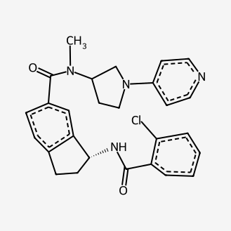 CN(C(=O)c1ccc2c(c1)[C@H](NC(=O)c1ccccc1Cl)CC2)C1CCN(c2ccncc2)C1